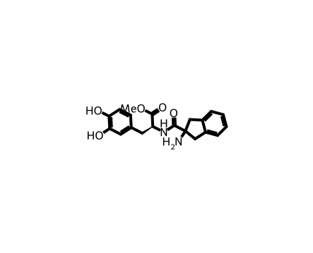 COC(=O)[C@H](Cc1ccc(O)c(O)c1)NC(=O)C1(N)Cc2ccccc2C1